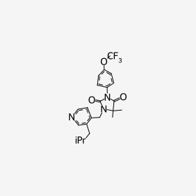 CC(C)Cc1cnccc1CN1C(=O)N(c2ccc(OC(F)(F)F)cc2)C(=O)C1(C)C